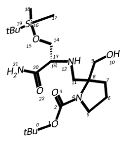 CC(C)(C)OC(=O)N1CCCC1(CO)CN[C@@H](CO[Si](C)(C)C(C)(C)C)C(N)=O